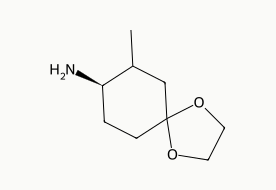 CC1CC2(CC[C@H]1N)OCCO2